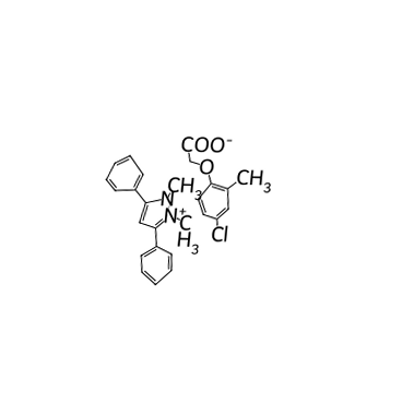 Cc1cc(Cl)ccc1OCC(=O)[O-].Cn1c(-c2ccccc2)cc(-c2ccccc2)[n+]1C